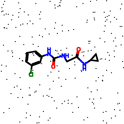 O=C(CNC(=O)Nc1cccc(Cl)c1)NC1CC1